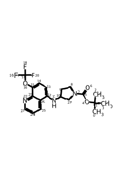 CC(C)(C)OC(=O)N1CCC(Nc2ccc(OC(F)(F)F)c3ncccc23)C1